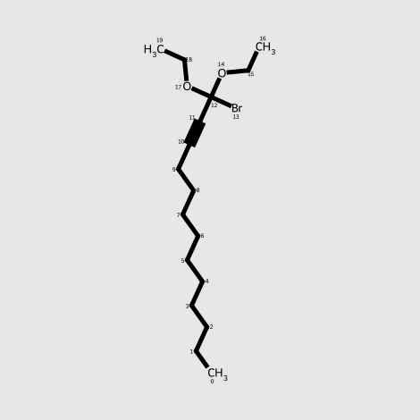 CCCCCCCCCCC#CC(Br)(OCC)OCC